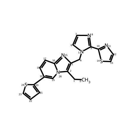 CCc1c(Cn2ccnc2-c2nccs2)nc2ccc(-c3cccs3)cn12